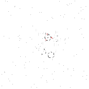 CC(C)(C)OC(=O)N1C[C@H]2CC[C@@H](C1)N2c1cncc(F)c1.Cl.Cl.Fc1cncc(N2[C@@H]3CC[C@H]2CNC3)c1